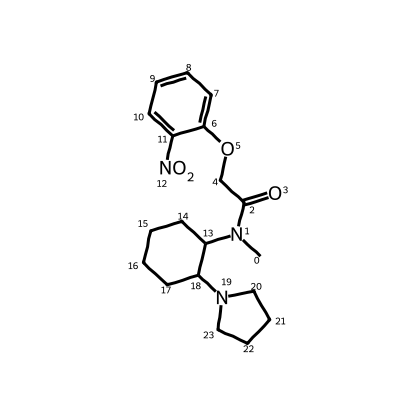 CN(C(=O)COc1ccccc1[N+](=O)[O-])C1CCCCC1N1CCCC1